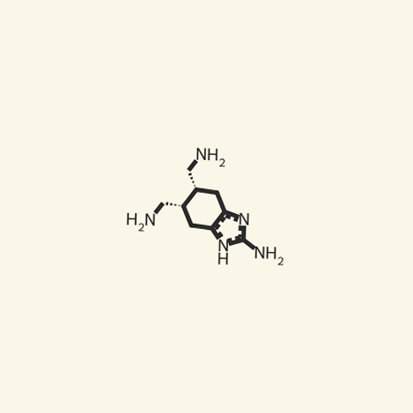 NC[C@@H]1Cc2nc(N)[nH]c2C[C@@H]1CN